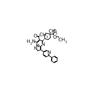 CCOC(=O)[C@]1(C)CC[C@@H](c2nc3c(-c4ccc(-c5ccccc5)nc4)cnn3c(N)c2C(C)=O)CC1